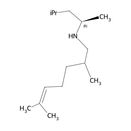 CC(C)=CCCC(C)CN[C@H](C)CC(C)C